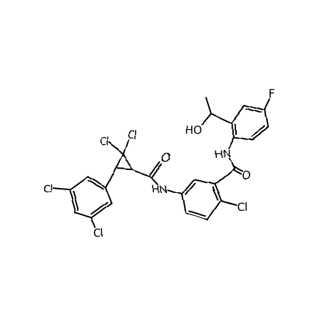 CC(O)c1cc(F)ccc1NC(=O)c1cc(NC(=O)C2C(c3cc(Cl)cc(Cl)c3)C2(Cl)Cl)ccc1Cl